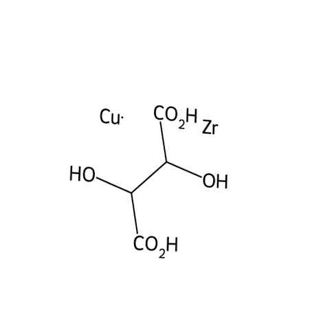 O=C(O)C(O)C(O)C(=O)O.[Cu].[Zr]